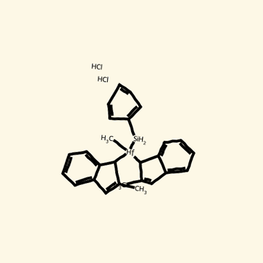 CC1=Cc2ccccc2[CH]1[Hf]([CH3])([SiH2]c1ccccc1)[CH]1C(C)=Cc2ccccc21.Cl.Cl